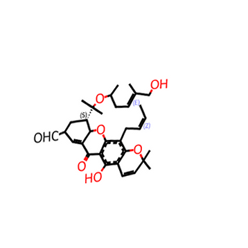 C/C=C\Cc1c2c(c(O)c3c1OC1C(=CC(C=O)C[C@@H]1C(C)(C)OC(C)C/C=C(\C)CO)C3=O)C=CC(C)(C)O2